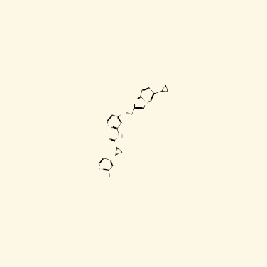 O=C(Nc1cc(NCc2cn3cc(C4CC4)ccc3n2)ccn1)[C@H]1C[C@@H]1c1ccnc(Cl)c1